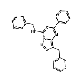 c1ccc(Cc2cnn3c(NCc4cccnc4)cc(-c4ccccc4)nc23)cc1